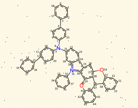 c1ccc(-c2ccc(N(c3ccc(-c4ccccc4)cc3)c3ccc4c5cc6c7c(c5n(-c5ccccc5)c4c3)Oc3ccccc3B7c3ccccc3O6)cc2)cc1